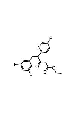 CCOC(=O)CC(=O)C(Cc1cc(F)cc(F)c1)c1ccc(F)cn1